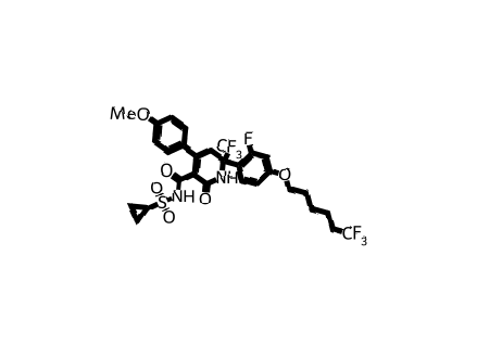 COc1ccc(C2=C(C(=O)NS(=O)(=O)C3CC3)C(=O)NC(c3ccc(OCCCCCC(F)(F)F)cc3F)(C(F)(F)F)C2)cc1